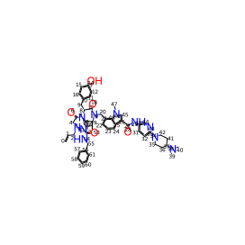 C=CCN1CC(=O)N2[C@@H](Cc3ccc(O)cc3)C(=O)N(Cc3cccc4c(C(=O)Nc5ccc(N6CCC(N(C)C)CC6)nc5)cn(C)c34)C[C@@H]2N1C(=O)NCc1ccccc1